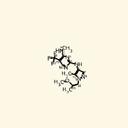 CNc1nc(Nc2cnn(CC(C)OC)c2C)ncc1C(F)(F)F